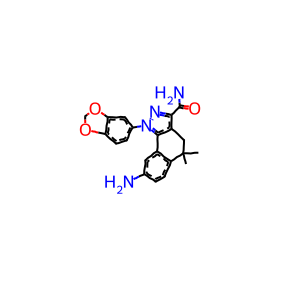 CC1(C)Cc2c(C(N)=O)nn(-c3ccc4c(c3)OCO4)c2-c2cc(N)ccc21